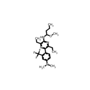 CCCC(Nc1nc(CC)c(-c2ccc(N(C)C)cc2C(F)(F)F)nc1CC)OC